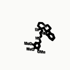 CCC1(CCCNCc2cc(OC)c(OC)c(OC)c2)CCCN2CCc3c([nH]c4ccccc34)C21